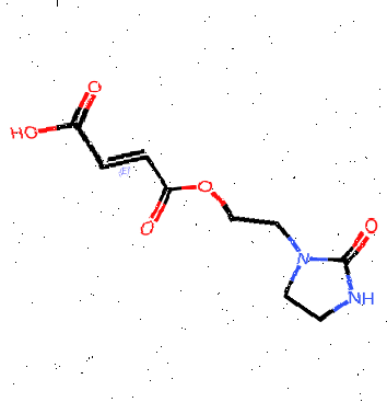 O=C(O)/C=C/C(=O)OCCN1CCNC1=O